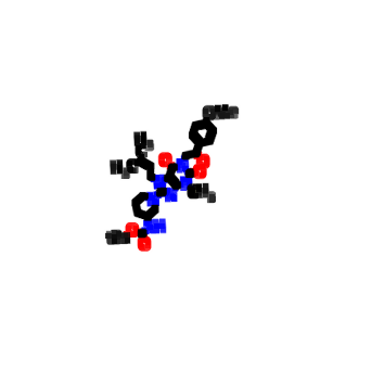 COc1ccc(C(=O)Cn2c(=O)c3c(nc(N4CCCC(NC(=O)OC(C)(C)C)C4)n3CC=C(C)C)n(C)c2=O)cc1